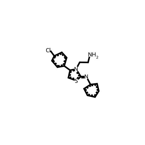 NCCn1c(-c2ccc(Cl)cc2)csc1=Nc1ccccc1